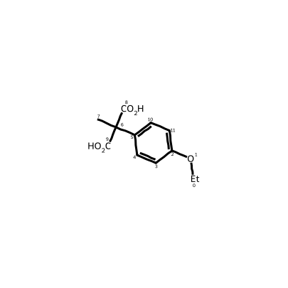 CCOc1ccc(C(C)(C(=O)O)C(=O)O)cc1